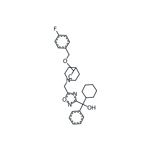 OC(c1ccccc1)(c1noc(C[N+]23CCC(CC2)C(OCc2ccc(F)cc2)C3)n1)C1CCCCC1